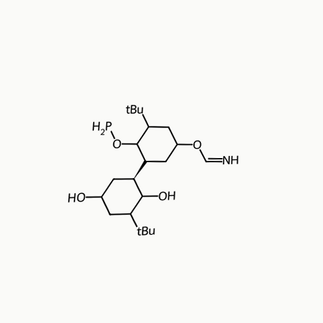 CC(C)(C)C1CC(OC=N)CC([C@@H]2CC(O)CC(C(C)(C)C)C2O)C1OP